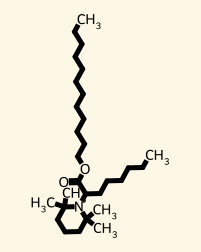 CCCCCCCCCCCCOC(=O)C(CCCCCC)N1C(C)(C)CCCC1(C)C